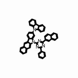 c1ccc(-c2nc(-c3ccc4ccccc4c3)nc(-n3c4cc(-n5c6ccccc6c6ccccc65)ccc4c4cc5ccccc5cc43)n2)cc1